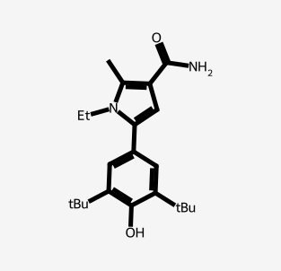 CCn1c(-c2cc(C(C)(C)C)c(O)c(C(C)(C)C)c2)cc(C(N)=O)c1C